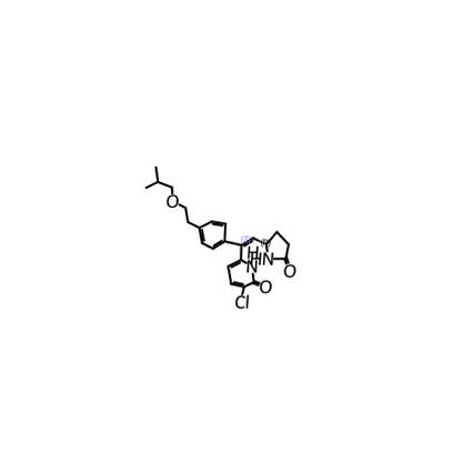 CC(C)COCCc1ccc(/C(=C/[C@H]2CCC(=O)N2)c2ccc(Cl)c(=O)[nH]2)cc1